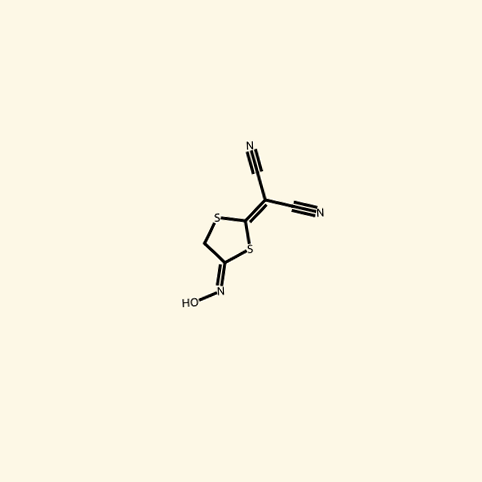 N#CC(C#N)=C1SCC(=NO)S1